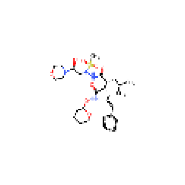 CC(C)C[C@@H](C(=O)NN(CC(=O)N1CCOCC1)S(C)(=O)=O)[C@H](CC=Cc1ccccc1)C(=O)NOC1CCCCO1